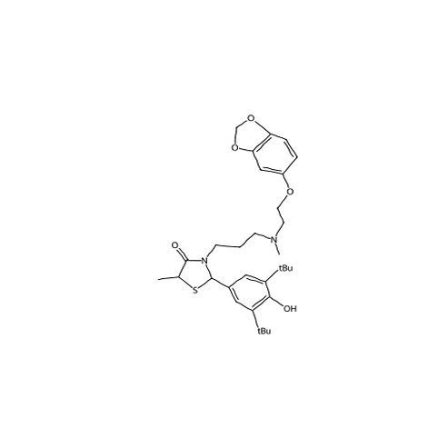 CC1SC(c2cc(C(C)(C)C)c(O)c(C(C)(C)C)c2)N(CCCN(C)CCOc2ccc3c(c2)OCO3)C1=O